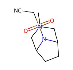 CN1CC2CCC(C1)N2S(=O)(=O)CC#N